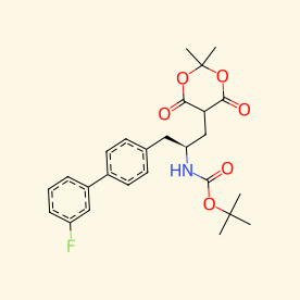 CC(C)(C)OC(=O)N[C@@H](Cc1ccc(-c2cccc(F)c2)cc1)CC1C(=O)OC(C)(C)OC1=O